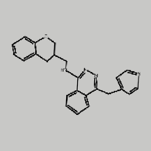 c1ccc2c(c1)CC(CNc1nnc(Cc3ccncc3)c3ccccc13)CO2